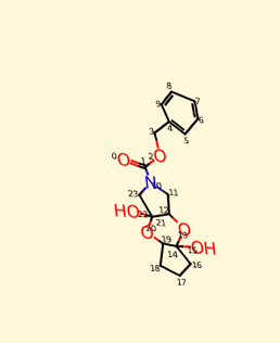 O=C(OCc1ccccc1)N1CC2OC3(O)CCCC3OC2(O)C1